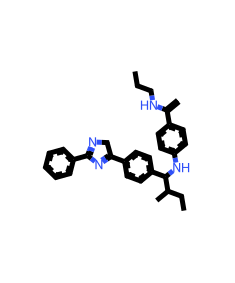 C=C(NCCC)c1ccc(NC(c2ccc(C3=NC(c4ccccc4)=NC3)cc2)C(C)CC)cc1